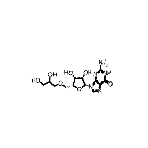 Nc1nc2c(ncn2[C@@H]2O[C@H](COCC(O)CO)[C@@H](O)[C@H]2O)c(=O)[nH]1